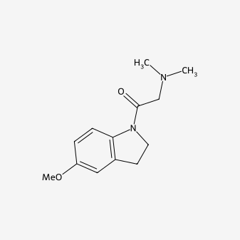 COc1ccc2c(c1)CCN2C(=O)CN(C)C